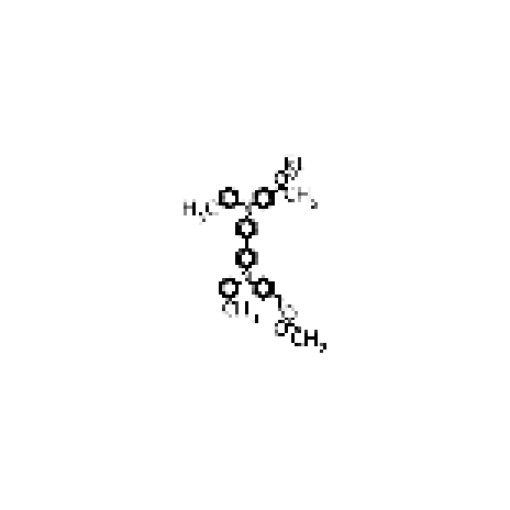 C=CC(=O)OCCc1ccc(N(c2ccc(-c3ccc(N(c4ccc(C(=C)OOCC)cc4)c4cccc(C)c4)cc3)cc2)c2cccc(C)c2)cc1